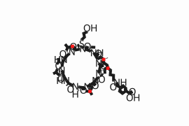 CC[C@@H]1NC(=O)C(C[C@H](C)CCCCCCCNC(=O)c2ccc(C(=O)O)cc2)N(C)C(=O)[C@H](C(C)C)N(C)C(=O)N(C)C(=O)C(CC(C)C)N(C)C(=O)[C@H](C)NC(=O)[C@@H](C)NC(=O)[C@@H](CC(C)C)N(C)C(=O)[C@@H](C(C)C)NC(=O)[C@H](CC(C)C)N(C)C(=O)[C@@H](CSCCCCO)N(C)C1=O